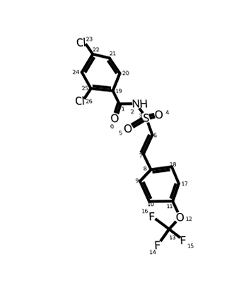 O=C(NS(=O)(=O)C=Cc1ccc(OC(F)(F)F)cc1)c1ccc(Cl)cc1Cl